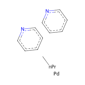 CCCC.[Pd].c1ccncc1.c1ccncc1